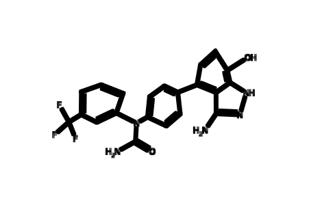 NC(=O)N(c1ccc(-c2ccc(O)c3[nH]nc(N)c23)cc1)c1cccc(C(F)(F)F)c1